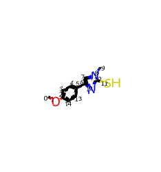 COc1ccc(-c2cn(C)c(S)n2)cc1